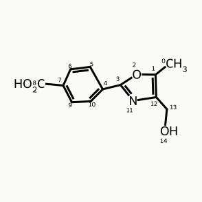 Cc1oc(-c2ccc(C(=O)O)cc2)nc1CO